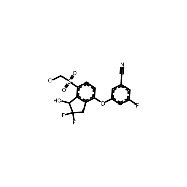 N#Cc1cc(F)cc(Oc2ccc(S(=O)(=O)CCl)c3c2CC(F)(F)C3O)c1